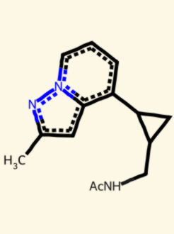 CC(=O)NCC1CC1c1cccn2nc(C)cc12